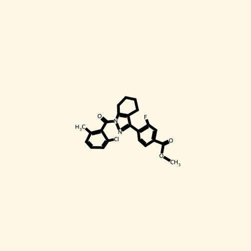 COC(=O)c1ccc(-c2nn(C(=O)c3c(C)cccc3Cl)c3c2CCCC3)c(F)c1